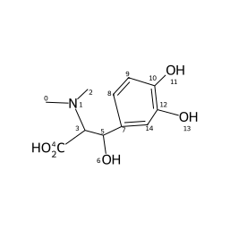 CN(C)C(C(=O)O)C(O)c1ccc(O)c(O)c1